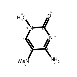 CNc1cn(C)c(=O)nc1N